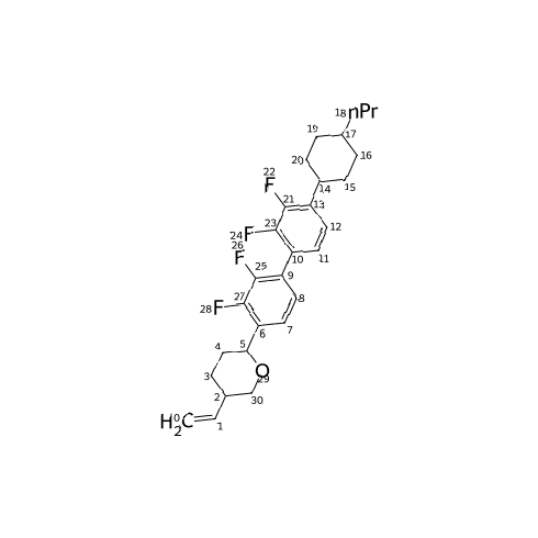 C=CC1CCC(c2ccc(-c3ccc(C4CCC(CCC)CC4)c(F)c3F)c(F)c2F)OC1